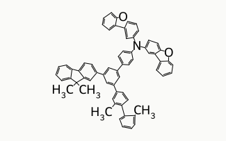 Cc1ccccc1-c1ccc(-c2cc(-c3ccc(N(c4ccc5oc6ccccc6c5c4)c4ccc5oc6ccccc6c5c4)cc3)cc(-c3ccc4c(c3)C(C)(C)c3ccccc3-4)c2)cc1C